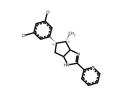 C[C@@H]1C2N=C(c3ccccn3)NC2C[C@@H]1c1cc(Cl)cc(Cl)c1